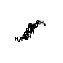 CCCS(=O)(=O)Nc1cccc(C(=O)Nc2cnc3c(c2)c(OC)nn3Cc2ccc(OC)cc2)c1F